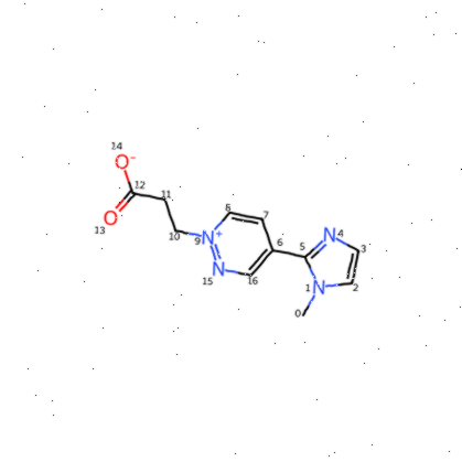 Cn1ccnc1-c1cc[n+](CCC(=O)[O-])nc1